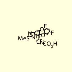 CSc1ncc2cc(Oc3ccc(F)cc3F)c(=O)n(C3CCCN(C(=O)O)C3)c2n1